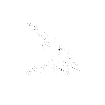 Cn1ccc(S(=O)(=O)N2CCC[C@@H](Nc3nccc(-c4c(-c5cccc(OCOP(=O)(OCOc6cccc(-c7nc8occn8c7-c7ccnc(N[C@@H]8CCCN(S(=O)(=O)c9ccn(C)n9)C8)n7)c6)OCOc6cccc(-c7nc8occn8c7-c7ccnc(N[C@@H]8CCCN(S(=O)(=O)c9ccn(C)n9)C8)n7)c6)c5)nc5occn45)n3)C2)n1